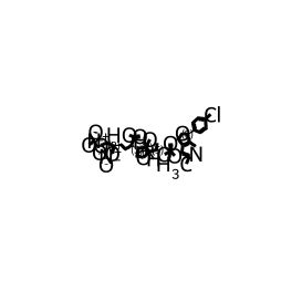 Cc1ncc2c(c1OC(=O)O[C@H]1CO[C@H]3[C@H]1OC[C@@H]3C(CC[C@H](CO[N+](=O)[O-])O[N+](=O)[O-])C(=O)O)CO[C@H]2c1ccc(Cl)cc1